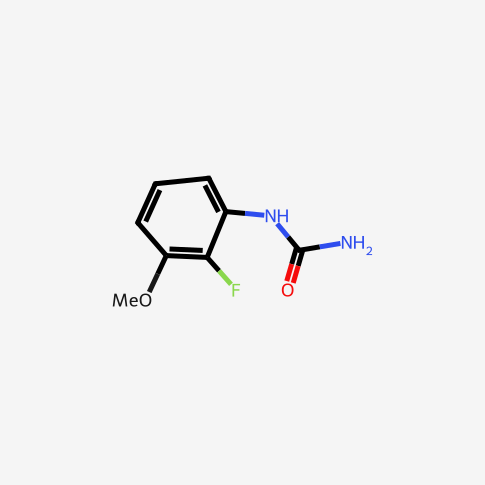 COc1cccc(NC(N)=O)c1F